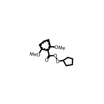 COc1cccc(OC)c1C(=O)OO[C]1CCCC1